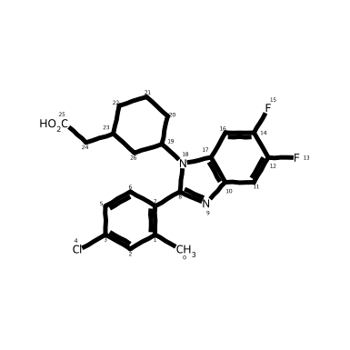 Cc1cc(Cl)ccc1-c1nc2cc(F)c(F)cc2n1C1CCCC(CC(=O)O)C1